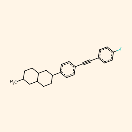 CC1CCC2CC(c3ccc(C#Cc4ccc(F)cc4)cc3)CCC2C1